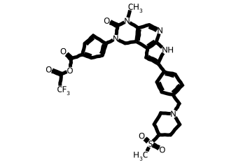 CN1C(=O)N(c2ccc(C(=O)OC(=O)C(F)(F)F)cc2)Cc2c1cnc1[nH]c(-c3ccc(CN4CCC(S(C)(=O)=O)CC4)cc3)cc21